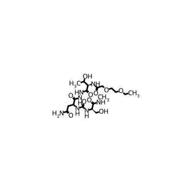 CCOCCOCC(=O)N[C@@H](C(=O)NNC(=O)C(CC(N)=O)NC(=O)N[C@H](CO)C(=O)NC)C(C)O